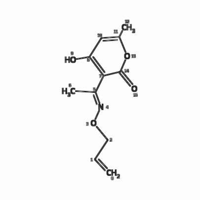 C=CCON=C(C)c1c(O)cc(C)oc1=O